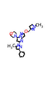 Cc1cc(-c2ccccc2)nn1-c1cc(N2CCOCC2)n2nc(OCc3ccn(C)n3)cc2n1